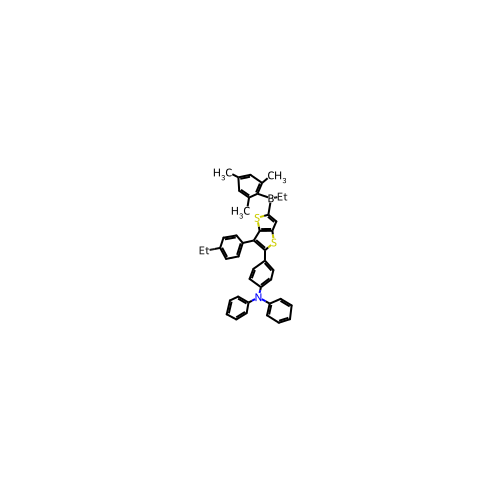 CCB(c1cc2sc(-c3ccc(N(c4ccccc4)c4ccccc4)cc3)c(-c3ccc(CC)cc3)c2s1)c1c(C)cc(C)cc1C